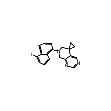 Fc1cccc2c(N3Cc4ncncc4C4(CC4)C3)cccc12